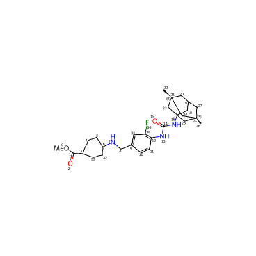 COC(=O)C1CCC(NCc2ccc(NC(=O)NC34CC5C[C@@](C)(C3)C[C@](C)(C5)C4)c(F)c2)CC1